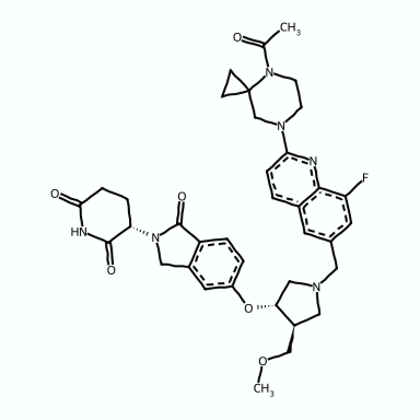 COC[C@@H]1CN(Cc2cc(F)c3nc(N4CCN(C(C)=O)C5(CC5)C4)ccc3c2)C[C@H]1Oc1ccc2c(c1)CN([C@H]1CCC(=O)NC1=O)C2=O